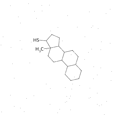 CC12CCC3C4CCCCC4CCC3C1CCC2S